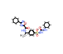 CC(NC(=O)c1nc(C2CCCCC2)no1)c1ccc(S(=O)(=O)NC(=O)NC2CCCCC2)cc1